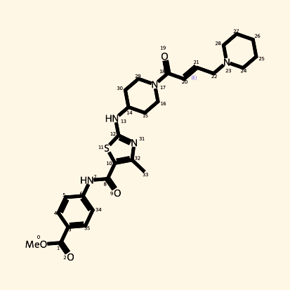 COC(=O)c1ccc(NC(=O)c2sc(NC3CCN(C(=O)/C=C/CN4CCCCC4)CC3)nc2C)cc1